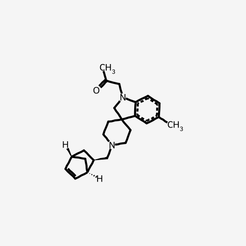 CC(=O)CN1CC2(CCN(C[C@@H]3C[C@H]4C=C[C@H]3C4)CC2)c2cc(C)ccc21